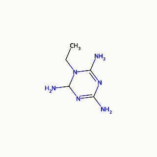 CCN1C(N)=NC(N)=NC1N